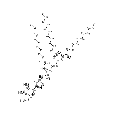 CCCCCCCCCCCC(=O)NC(CSCC(COC(=O)CCCCCCCCCCC)OC(=O)CCCCCCCCCCC)C(=O)Nc1cn([C@H]2OC(CO)[C@@H](O)[C@H]2O)nn1